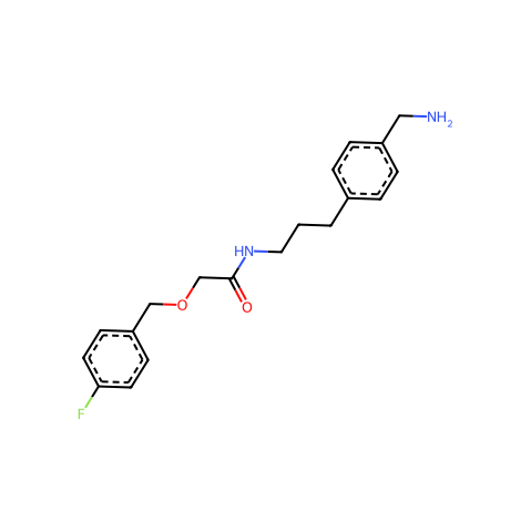 NCc1ccc(CCCNC(=O)COCc2ccc(F)cc2)cc1